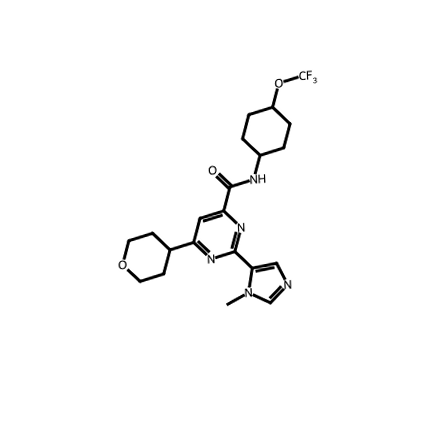 Cn1cncc1-c1nc(C(=O)NC2CCC(OC(F)(F)F)CC2)cc(C2CCOCC2)n1